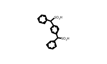 O=S(=O)(O)C(c1ccccc1)c1ccc(C(c2ccccc2)S(=O)(=O)O)cc1